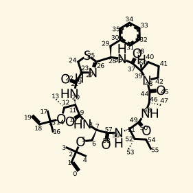 C=CC(C)(C)OC[C@H]1NC(=O)[C@H]([C@@H](C)OC(C)(C)C=C)NC(=O)[C@@H]2CSC(=N2)[C@@H](Cc2ccccc2)NC(=O)[C@@H]2CCCN2C(=O)[C@H](C)NC(=O)[C@H]([C@@H](C)CC)NC1=O